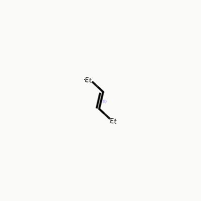 C[CH]/C=[C]/CC